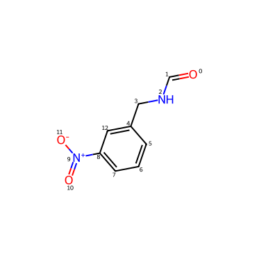 O=CNCc1cccc([N+](=O)[O-])c1